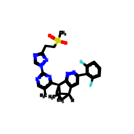 Cc1cnc(-n2cnc(CCS(C)(=O)=O)n2)nc1[C@@]12CC[C@@H](c3cc(-c4c(F)cccc4F)nnc31)C2(C)C